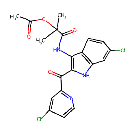 CC(=O)OC(C)(C)C(=O)Nc1c(C(=O)c2cc(Cl)ccn2)[nH]c2cc(Cl)ccc12